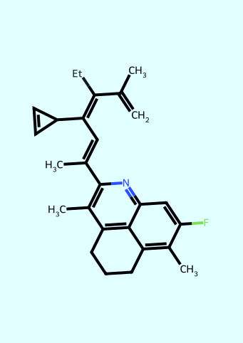 C=C(C)/C(CC)=C(\C=C(/C)c1nc2cc(F)c(C)c3c2c(c1C)CCC3)C1C=C1